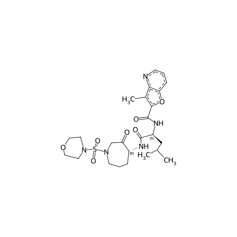 Cc1c(C(=O)N[C@@H](CC(C)C)C(=O)N[C@@H]2CCCN(S(=O)(=O)N3CCOCC3)CC2=O)oc2cccnc12